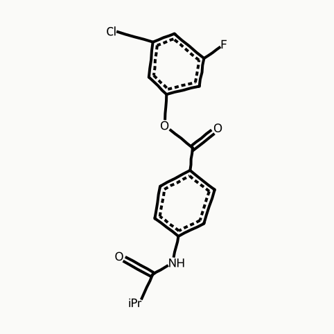 CC(C)C(=O)Nc1ccc(C(=O)Oc2cc(F)cc(Cl)c2)cc1